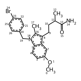 COc1ccc2c(c1)c(CCC(C)C(N)=O)c(C)n2Cc1ccc(Br)cc1